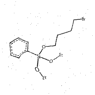 CCO[Si](OCC)(OCCCCBr)c1ccccc1